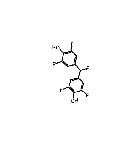 Oc1c(F)cc(C(F)c2cc(F)c(O)c(F)c2)cc1F